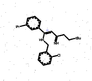 CC(C)c1cccc(/C(=C/C(=N)CCC(C)(C)C)NCc2ccccc2Cl)c1